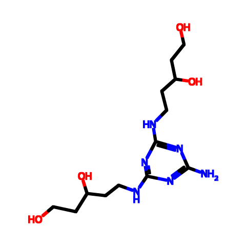 Nc1nc(NCCC(O)CCO)nc(NCCC(O)CCO)n1